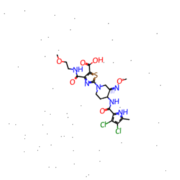 COCCNC(=O)c1nc(N2CCC(NC(=O)c3[nH]c(C)c(Cl)c3Cl)/C(=N/OC)C2)sc1C(=O)O